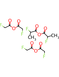 CC(F)C(=O)OC(=O)C(C)F.O=C(CF)OC(=O)CF.O=C(CF)OC(=O)CF